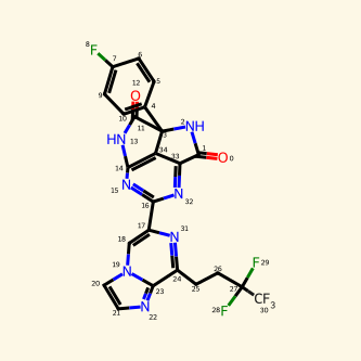 O=C1NC2(c3ccc(F)cc3)C(=O)Nc3nc(-c4cn5ccnc5c(CCC(F)(F)C(F)(F)F)n4)nc1c32